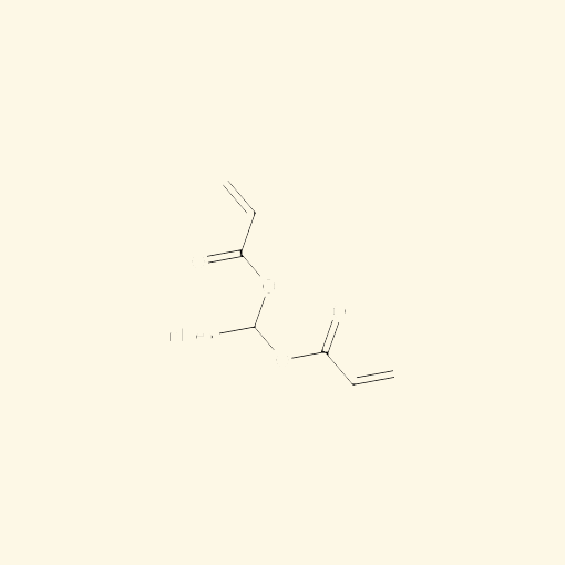 C=CC(=O)OC(CCCCCC)OC(=O)C=C